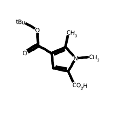 Cc1c(C(=O)OC(C)(C)C)cc(C(=O)O)n1C